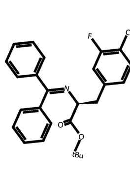 CC(C)(C)OC(=O)[C@H](Cc1ccc(Cl)c(F)c1)N=C(c1ccccc1)c1ccccc1